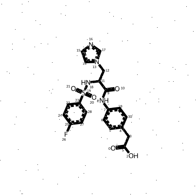 O=C(O)Cc1ccc(NC(=O)C(Cn2ccnc2)NS(=O)(=O)c2ccc(F)cc2)cc1